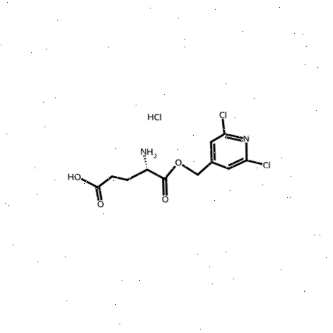 Cl.N[C@@H](CCC(=O)O)C(=O)OCc1cc(Cl)nc(Cl)c1